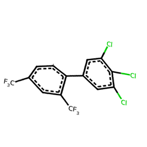 FC(F)(F)c1c[c]c(-c2cc(Cl)c(Cl)c(Cl)c2)c(C(F)(F)F)c1